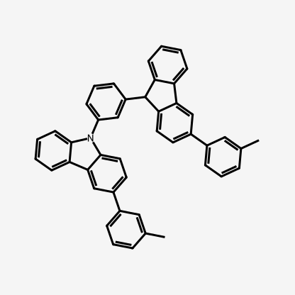 Cc1cccc(-c2ccc3c(c2)-c2ccccc2C3c2cccc(-n3c4ccccc4c4cc(-c5cccc(C)c5)ccc43)c2)c1